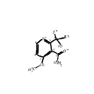 COc1ccnc(C(F)(F)F)c1C(N)=O